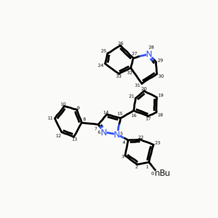 CCCCc1ccc(-n2nc(-c3ccccc3)cc2-c2ccccc2)cc1.c1ccc2ncccc2c1